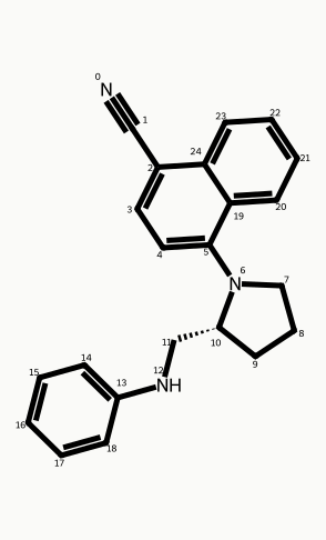 N#Cc1ccc(N2CCC[C@@H]2CNc2ccccc2)c2ccccc12